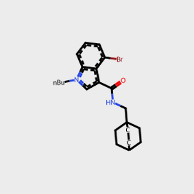 CCCCn1cc(C(=O)NCC23CCC(CC2)CC3)c2c(Br)cccc21